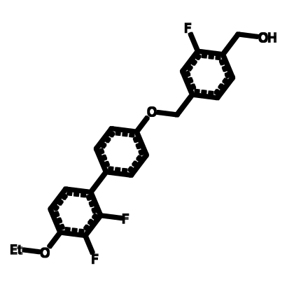 CCOc1ccc(-c2ccc(OCc3ccc(CO)c(F)c3)cc2)c(F)c1F